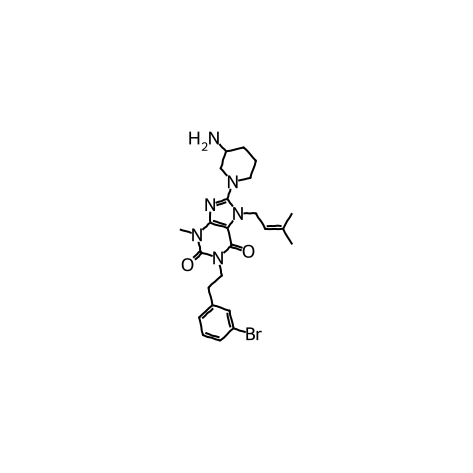 CC(C)=CCn1c(N2CCCC(N)C2)nc2c1c(=O)n(CCc1cccc(Br)c1)c(=O)n2C